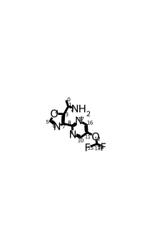 CC(N)c1ocnc1-c1ncc(OC(F)F)cn1